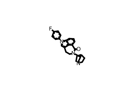 O=C1c2cccc3c2c(cn3-c2ccc(F)cc2)CCN1C1CN2CCC1CC2